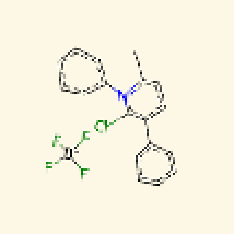 Cc1ccc(-c2ccccc2)c(Cl)[n+]1-c1ccccc1.F[B-](F)(F)F